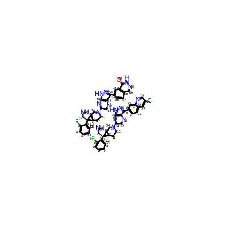 NC[C@]1(c2ccccc2F)[C@@H]2CCN(c3cnc4c(-c5ccc6cc(Cl)cnc6c5)n[nH]c4n3)C[C@@H]21.NC[C@]1(c2ccccc2F)[C@@H]2CCN(c3cnc4c(-c5ccc6cn[nH]c(=O)c6c5)n[nH]c4n3)C[C@@H]21